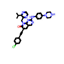 CC(C)c1nccnc1Cn1c(=O)c(C#Cc2ccc(Cl)cc2)cc2cnc(Nc3ccc(N4CCNCC4)cc3)nc21